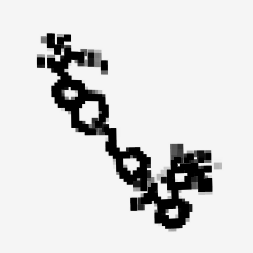 CC(C)C(=O)c1ccc2c(c1)CCN(CCC1CCC(NC(=O)c3ccccc3C(=O)OC(C)(C)C)CC1)CC2